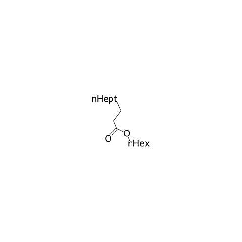 CCCCCCCCCC(=O)OCCCCCC